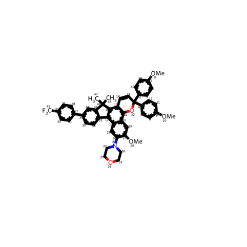 COc1ccc(C2(c3ccc(OC)cc3)C=Cc3c4c(c5cc(N6CCOCC6)c(OC)cc5c3O2)-c2ccc(-c3ccc(C(F)(F)F)cc3)cc2C4(C)C)cc1